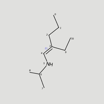 CCC/C(=C/NC(C)C)CC